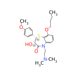 CCCCOc1cccc2c1S[C@@H](c1ccc(OC)cc1)[C@@H](O)C(=O)N2CCN(C)C